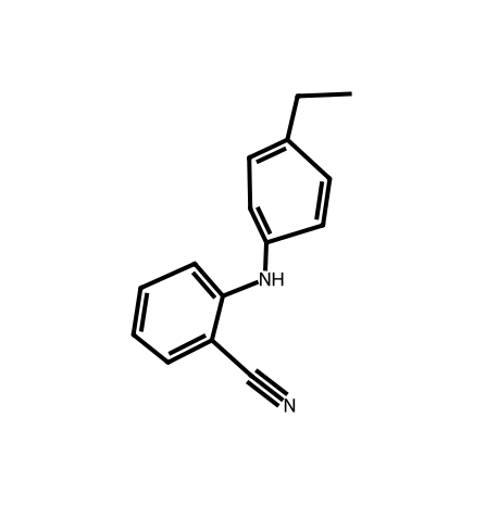 CCc1ccc(Nc2ccccc2C#N)cc1